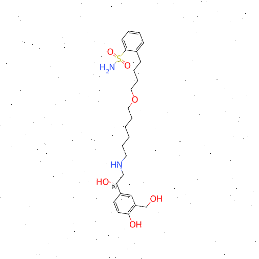 NS(=O)(=O)c1ccccc1CCCCOCCCCCCNC[C@@H](O)c1ccc(O)c(CO)c1